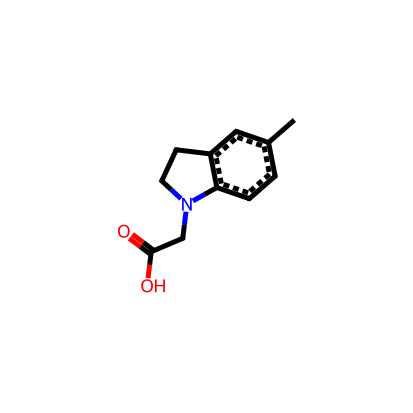 Cc1ccc2c(c1)CCN2CC(=O)O